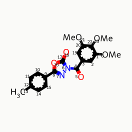 COc1cc(C(=O)n2nc(-c3ccc(C)cc3)oc2=O)cc(OC)c1OC